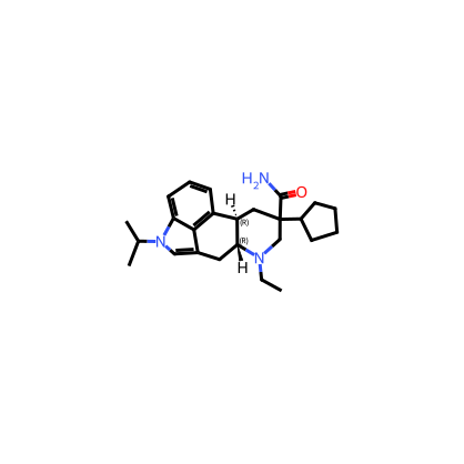 CCN1CC(C(N)=O)(C2CCCC2)C[C@@H]2c3cccc4c3c(cn4C(C)C)C[C@H]21